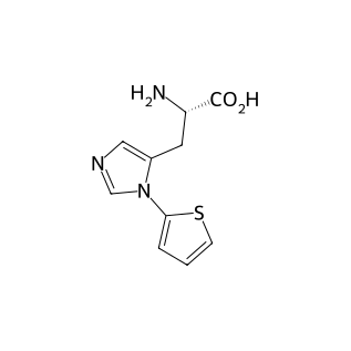 N[C@@H](Cc1cncn1-c1cccs1)C(=O)O